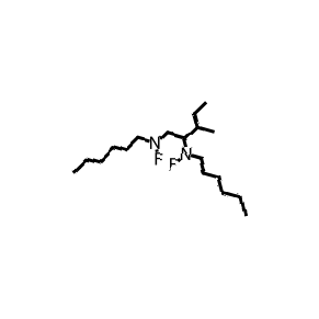 CCCCCCN(F)CC(C(C)CC)N(F)CCCCCC